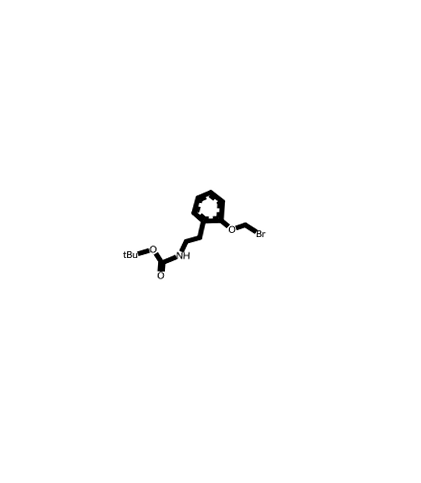 CC(C)(C)OC(=O)NCCc1ccccc1OCBr